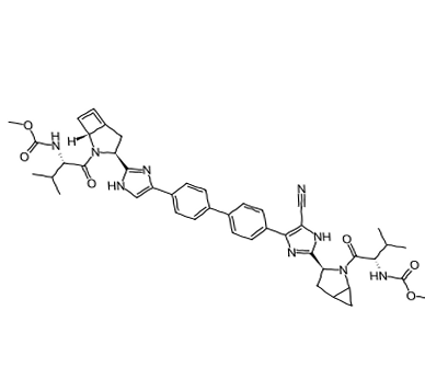 COC(=O)N[C@H](C(=O)N1C2CC2C[C@H]1c1nc(-c2ccc(-c3ccc(-c4c[nH]c([C@@H]5CC6=C=C[C@H]6N5C(=O)[C@@H](NC(=O)OC)C(C)C)n4)cc3)cc2)c(C#N)[nH]1)C(C)C